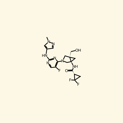 Cn1cc(Nc2ncc(F)c(N3C[C@@]4(CO)C[C@]4(NC(=O)[C@@H]4CC4(F)F)C3)n2)cn1